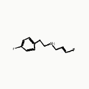 F/C=C/CNCCc1ccc(F)cc1